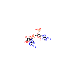 Nc1ncnc2c1ncn2[C@H]1C2C(OC[PH](=O)O)[C@@H](COP(=O)(O)CC3(n4cnc5c(N)ncnc54)OC4C(O)[C@@H](CO)O[C@H]43)OC21O